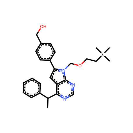 CC(c1ccccc1)c1ncnc2c1cc(-c1ccc(CO)cc1)n2COCC[Si](C)(C)C